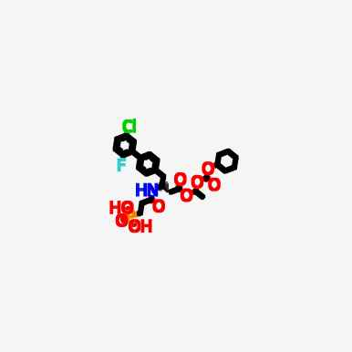 CC(OC(=O)C[C@@H](Cc1ccc(-c2cc(Cl)ccc2F)cc1)NC(=O)CCP(=O)(O)O)OC(=O)OC1CCCCC1